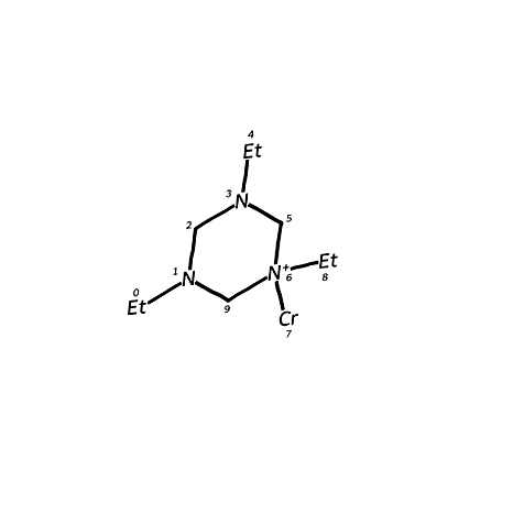 CCN1CN(CC)C[N+]([Cr])(CC)C1